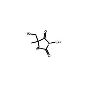 CC1(CS)NC(=O)N(C(C)(C)C)C1=O